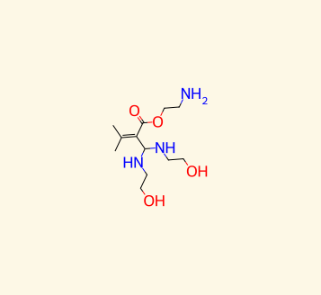 CC(C)=C(C(=O)OCCN)C(NCCO)NCCO